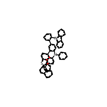 c1ccc(N(c2ccc(-c3cccc4ccccc34)cc2)c2ccc(-c3ccccc3-n3c4ccccc4c4ccccc43)cc2-c2ccc3sc4ccccc4c3c2)cc1